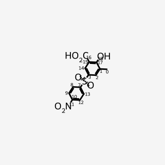 Cc1cc(S(=O)(=O)c2ccc([N+](=O)[O-])cc2)cc(C(=O)O)c1O